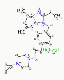 CCc1nc2c(C)cc(C)nc2n1Cc1ccc(C=CCN2CCN(C3CC3)CC2)cc1.Cl.Cl